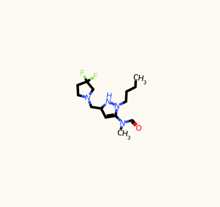 CCCCN1NC(CN2CCC(F)(F)C2)C=C1N(C)C=O